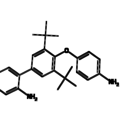 CC(C)(C)c1cc(-c2ccccc2N)cc(C(C)(C)C)c1Oc1ccc(N)cc1